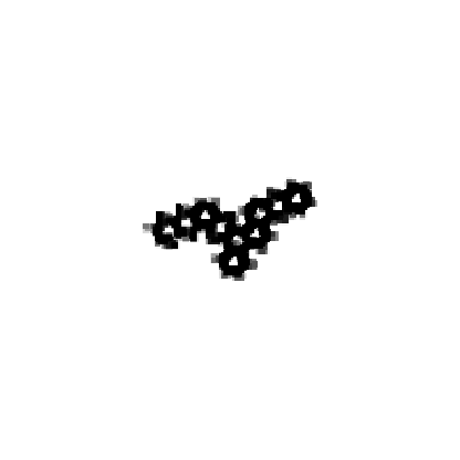 c1ccc2nc3c(ccc4c3ccc3c5ccccc5c5nc6c(ccc7nc8nccnc8nc76)nc5c34)nc2c1